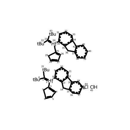 CC(C)(C)[C](=[Hf]([C]1=CC=CC1)[c]1cccc2c1Cc1ccccc1-2)C(C)(C)C.CC(C)(C)[C](=[Hf]([C]1=CC=CC1)[c]1cccc2c1Cc1ccccc1-2)C(C)(C)C.Cl.Cl